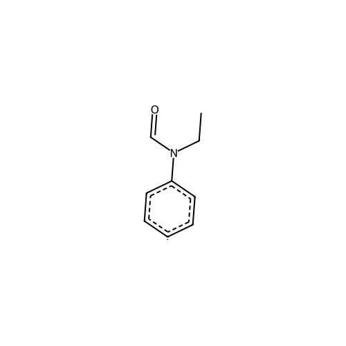 CCN(C=O)c1cc[c]cc1